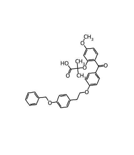 COc1ccc(C(=O)c2ccc(OCCc3ccc(OCc4ccccc4)cc3)cc2)c(OC(C)(C)C(=O)O)c1